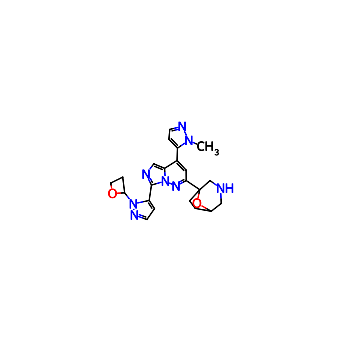 Cn1nccc1-c1cc(C23CCC(CNC2)O3)nn2c(-c3ccnn3C3CCO3)ncc12